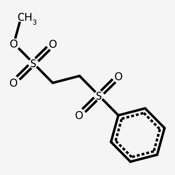 COS(=O)(=O)CCS(=O)(=O)c1ccccc1